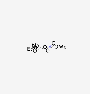 CCN(CC)S(=O)(=O)CCCOC(=O)/C=C/C(=O)OC